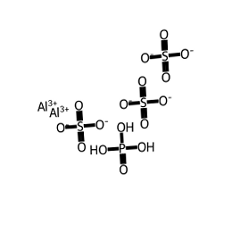 O=P(O)(O)O.O=S(=O)([O-])[O-].O=S(=O)([O-])[O-].O=S(=O)([O-])[O-].[Al+3].[Al+3]